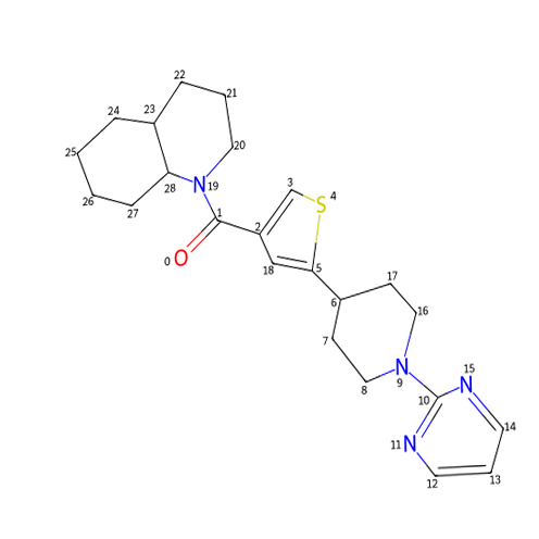 O=C(c1csc(C2CCN(c3ncccn3)CC2)c1)N1CCCC2CCCCC21